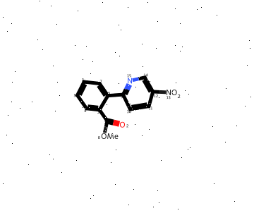 COC(=O)c1ccccc1-c1ccc([N+](=O)[O-])cn1